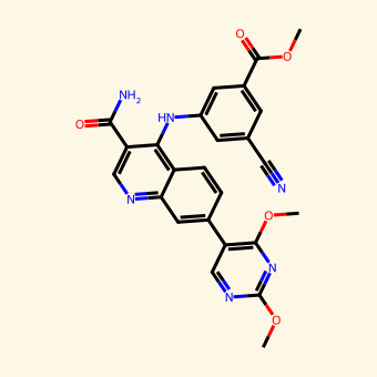 COC(=O)c1cc(C#N)cc(Nc2c(C(N)=O)cnc3cc(-c4cnc(OC)nc4OC)ccc23)c1